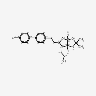 CC1(C)O[C@H]2O[C@H](CCc3ccc(-c4ccc(Cl)cc4)cc3)[C@@H](CCO)[C@H]2O1